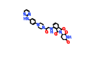 O=C1CCC(N2C(=O)c3cccc(NCC(=O)N4CCN(c5ccc(Nc6ncccn6)cc5)CC4)c3C2=O)C(=O)N1